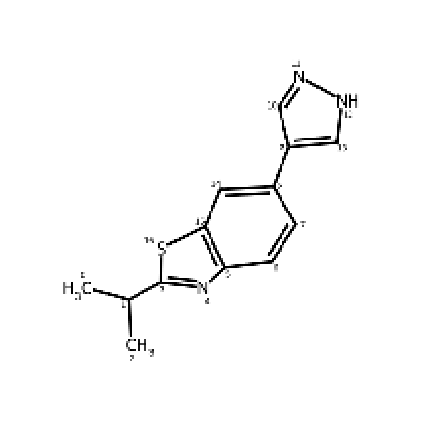 CC(C)c1nc2ccc(-c3cn[nH]c3)cc2s1